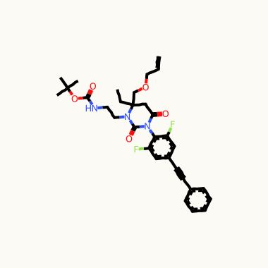 C=CCOCC1(CC)CC(=O)N(c2c(F)cc(C#Cc3ccccc3)cc2F)C(=O)N1CCNC(=O)OC(C)(C)C